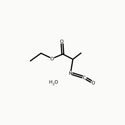 CCOC(=O)C(C)N=C=O.O